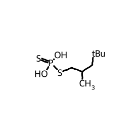 CC(CSP(O)(O)=S)CC(C)(C)C